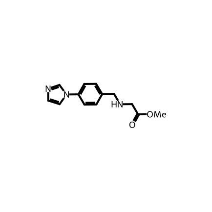 COC(=O)CNCc1ccc(-n2ccnc2)cc1